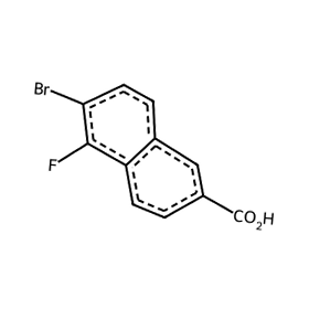 O=C(O)c1ccc2c(F)c(Br)ccc2c1